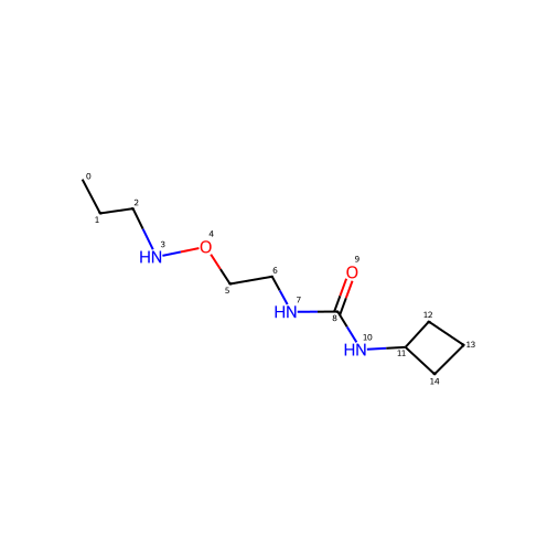 CCCNOCCNC(=O)NC1CCC1